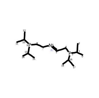 CC(C)P(C/C=N/CCP(C(C)C)C(C)C)C(C)C